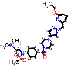 CCOc1cccc(Cn2cc(N3CCN(C(=O)[C@H]4CC[C@H](N(CCN(C)C)S(C)(=O)=O)CC4)CC3)cn2)n1